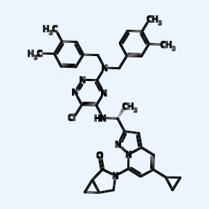 Cc1ccc(CN(Cc2ccc(C)c(C)c2)c2nnc(Cl)c(N[C@H](C)c3cc4cc(C5CC5)cc(N5CC6CC6C5=O)n4n3)n2)cc1C